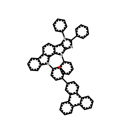 c1ccc(-c2nc3c(c4ccc5c6ccccc6n(-c6ccc(-c7ccc8c9ccccc9c9ccccc9c8c7)cc6)c5c4n3-c3ccccc3)n2-c2ccccc2)cc1